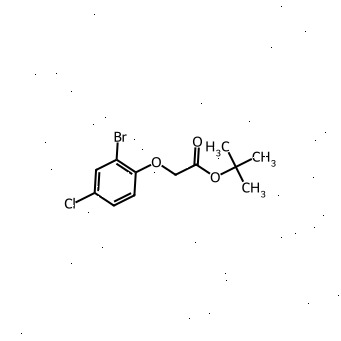 CC(C)(C)OC(=O)COc1ccc(Cl)cc1Br